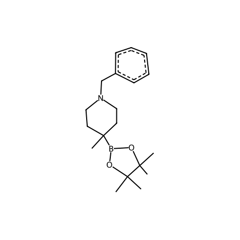 CC1(B2OC(C)(C)C(C)(C)O2)CCN(Cc2ccccc2)CC1